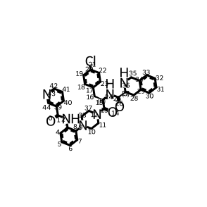 O=C(Nc1ccccc1N1CCN(C(=O)[C@@H](Cc2ccc(Cl)cc2)NC(=O)[C@@H]2Cc3ccccc3CN2)CC1)c1cccnc1